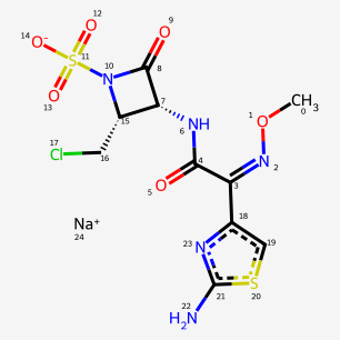 CO/N=C(\C(=O)N[C@H]1C(=O)N(S(=O)(=O)[O-])[C@H]1CCl)c1csc(N)n1.[Na+]